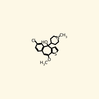 COC1=Cc2ccc(Cl)cc2C(O)(C2CCN(C)CC2)c2ccsc21